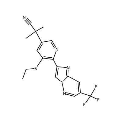 CCSc1cc(C(C)(C)C#N)cnc1-c1cn2ncc(C(F)(F)F)cc2n1